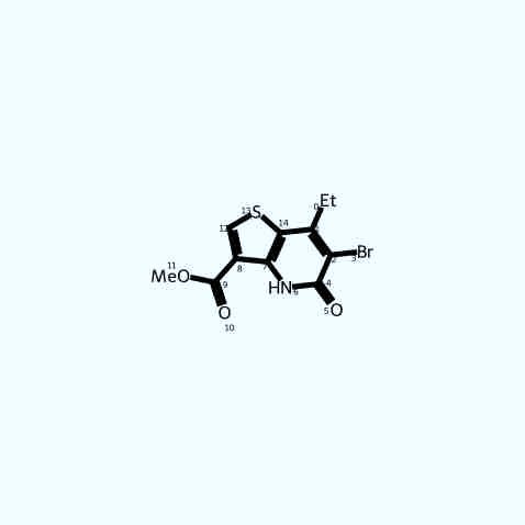 CCc1c(Br)c(=O)[nH]c2c(C(=O)OC)csc12